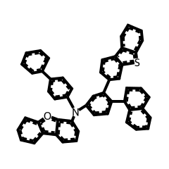 c1ccc(-c2ccc(N(c3ccc(-c4cccc5ccccc45)c(-c4ccc5c(c4)sc4ccccc45)c3)c3cccc4c3oc3ccccc34)cc2)cc1